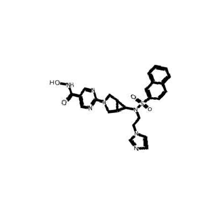 O=C(NO)c1cnc(N2CC3C(C2)C3N(CCn2ccnc2)S(=O)(=O)c2ccc3ccccc3c2)nc1